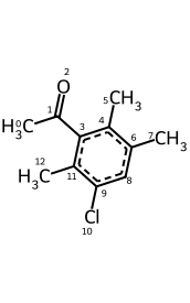 CC(=O)c1c(C)c(C)cc(Cl)c1C